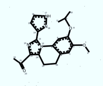 COc1cc2c(cc1OC(C)C)-n1c(-c3cc[nH]n3)nc(C(C)=O)c1CC2